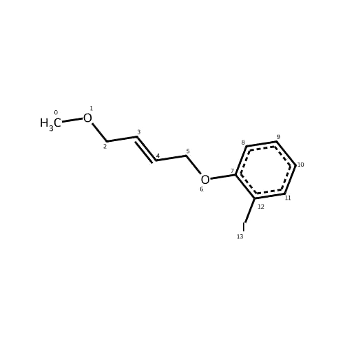 COC/C=C/COc1ccccc1I